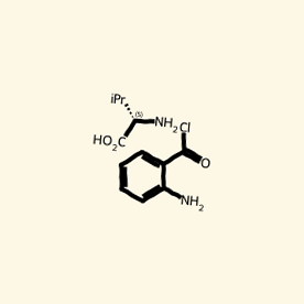 CC(C)[C@H](N)C(=O)O.Nc1ccccc1C(=O)Cl